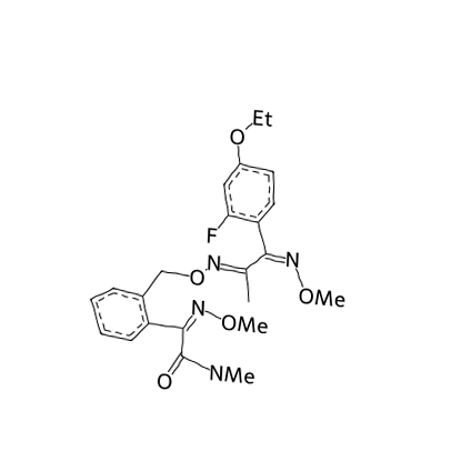 CCOc1ccc(C(=NOC)C(C)=NOCc2ccccc2C(=NOC)C(=O)NC)c(F)c1